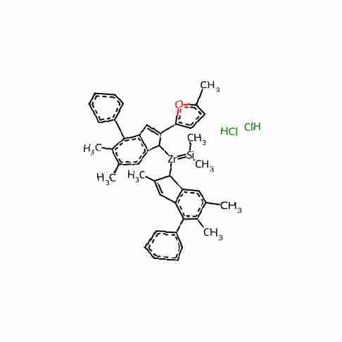 CC1=Cc2c(cc(C)c(C)c2-c2ccccc2)[CH]1[Zr]([CH]1C(c2ccc(C)o2)=Cc2c1cc(C)c(C)c2-c1ccccc1)=[Si](C)C.Cl.Cl